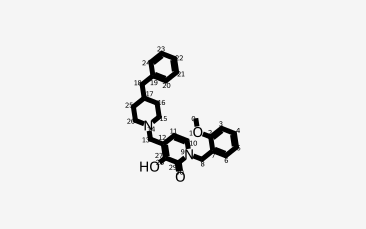 COc1ccccc1Cn1ccc(CN2CCC(Cc3ccccc3)CC2)c(O)c1=O